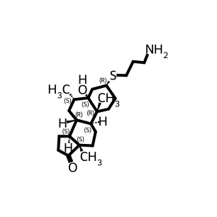 C[C@H]1C[C@H]2[C@@H]3CCC(=O)[C@@]3(C)CC[C@@H]2[C@@]2(C)CC[C@@H](SCCCN)C[C@]12O